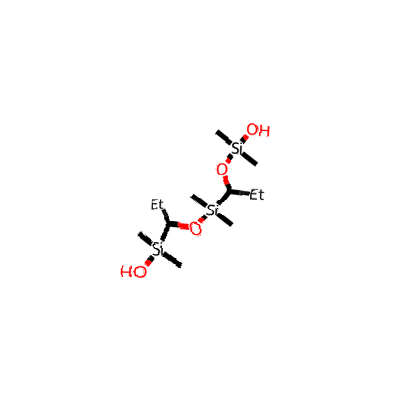 CCC(O[Si](C)(C)C(CC)O[Si](C)(C)O)[Si](C)(C)O